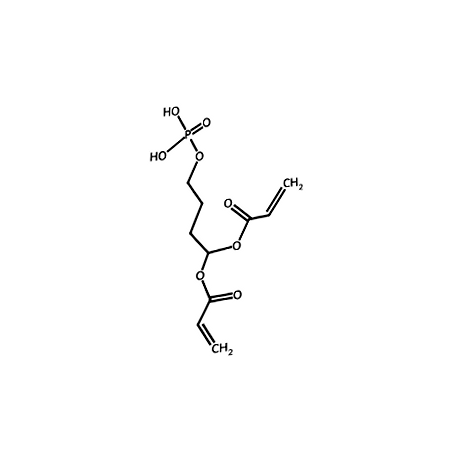 C=CC(=O)OC(CCCOP(=O)(O)O)OC(=O)C=C